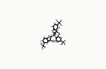 CC(C)(C)c1cc2c3c(c1)Sc1c(sc4ccc(C(C)(C)C)cc14)P3(=O)c1sc3ccc(C(C)(C)C)cc3c1S2